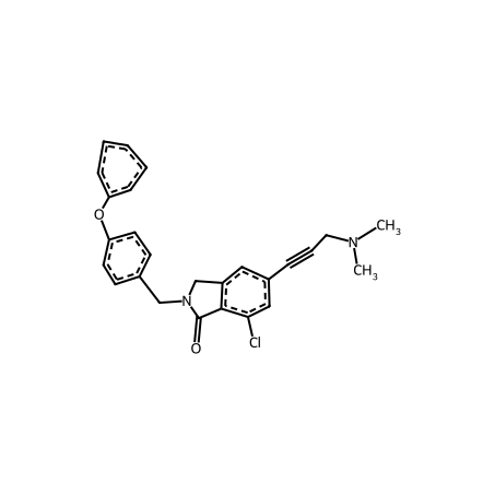 CN(C)CC#Cc1cc(Cl)c2c(c1)CN(Cc1ccc(Oc3ccccc3)cc1)C2=O